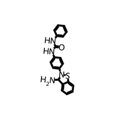 NC1c2ccccc2SN1c1ccc(NC(=O)Nc2ccccc2)cc1